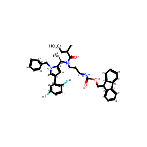 CC(CC(=O)O)C(=O)N(CCCNC(=O)OCC1c2ccccc2-c2ccccc21)[C@@H](c1cc(-c2cc(F)ccc2F)cn1Cc1ccccc1)C(C)(C)C